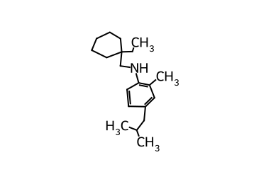 CCC1(CNc2ccc(CC(C)C)cc2C)CCCCC1